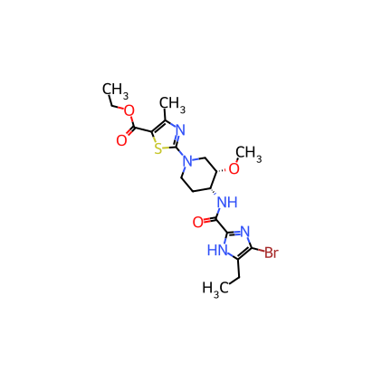 CCOC(=O)c1sc(N2CC[C@@H](NC(=O)c3nc(Br)c(CC)[nH]3)[C@@H](OC)C2)nc1C